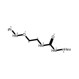 CCCCCCNC(=O)NCCONC(C)C